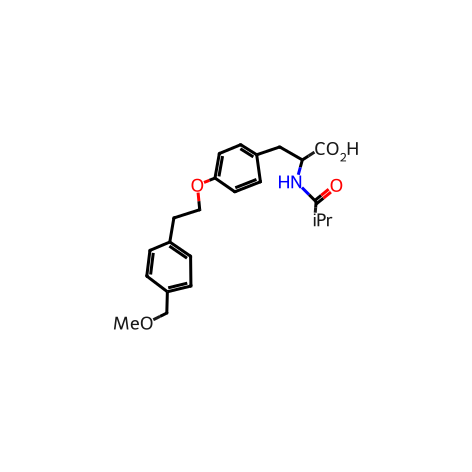 COCc1ccc(CCOc2ccc(CC(NC(=O)C(C)C)C(=O)O)cc2)cc1